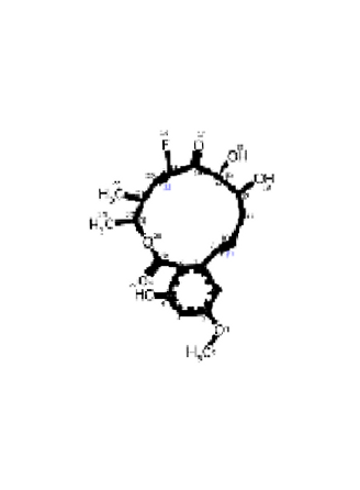 COc1cc(O)c2c(c1)/C=C/CC(O)[C@H](O)C(=O)/C(F)=C\C(C)[C@H](C)OC2=O